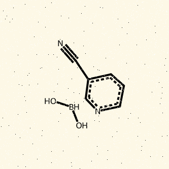 N#Cc1cccnc1.OBO